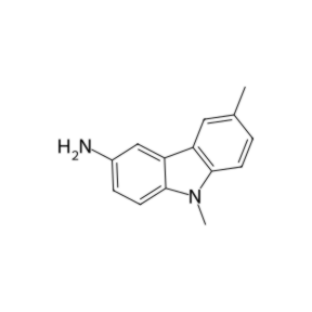 Cc1ccc2c(c1)c1cc(N)ccc1n2C